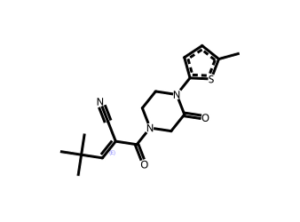 Cc1ccc(N2CCN(C(=O)/C(C#N)=C/C(C)(C)C)CC2=O)s1